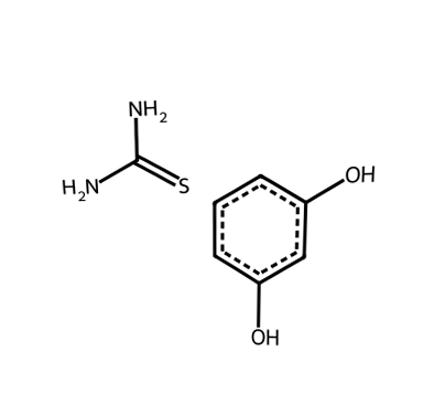 NC(N)=S.Oc1cccc(O)c1